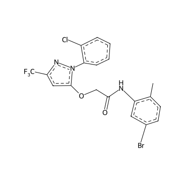 Cc1ccc(Br)cc1NC(=O)COc1cc(C(F)(F)F)nn1-c1ccccc1Cl